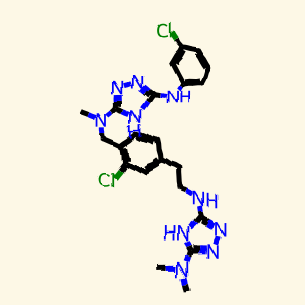 CN(C)c1nnc(NCCc2ccc(CN(C)c3nnc(Nc4cccc(Cl)c4)[nH]3)c(Cl)c2)[nH]1